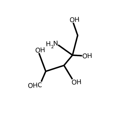 NC(O)(CO)C(O)C(O)C=O